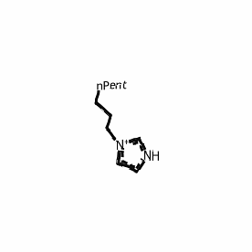 CCCCCCCC[n+]1cc[nH]c1